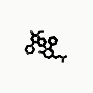 CCn1c(=O)cc(N2CCOCC2)c2cc(N3C(=O)CCC(CCN(C)C)C=C3c3ccccc3)ccc21